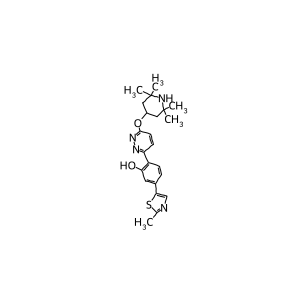 Cc1ncc(-c2ccc(-c3ccc(OC4CC(C)(C)NC(C)(C)C4)nn3)c(O)c2)s1